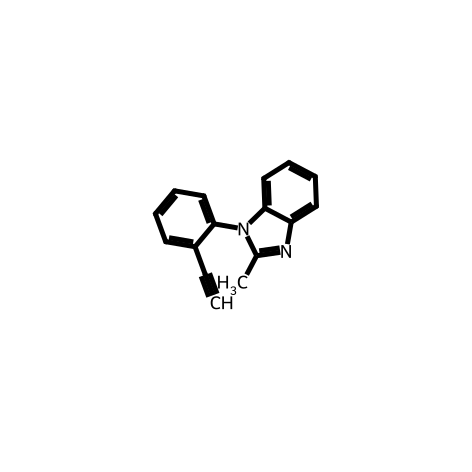 C#Cc1ccccc1-n1c(C)nc2ccccc21